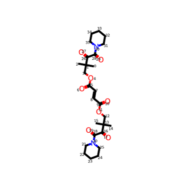 CC(C)(COC(=O)/C=C/C(=O)OCC(C)(C)C(=O)C(=O)N1CCCCC1)C(=O)C(=O)N1CCCCC1